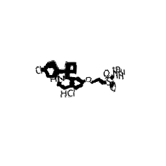 CC(C)(C)NS(=O)(=O)CCCOc1ccc2c(c1)C(C1(c3ccc(Cl)cc3)CCC1)NCC2.Cl